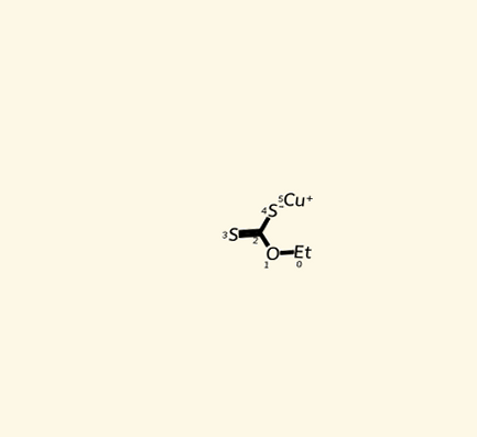 CCOC(=S)[S-].[Cu+]